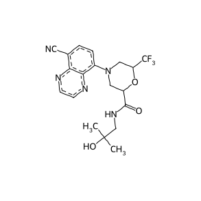 CC(C)(O)CNC(=O)C1CN(c2ccc(C#N)c3nccnc23)CC(C(F)(F)F)O1